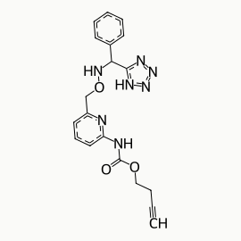 C#CCCOC(=O)Nc1cccc(CONC(c2ccccc2)c2nnn[nH]2)n1